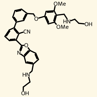 COc1cc(OCc2cccc(-c3cccc(-c4nc5cc(CNCCO)ccc5o4)c3C#N)c2)cc(OC)c1CNCCO